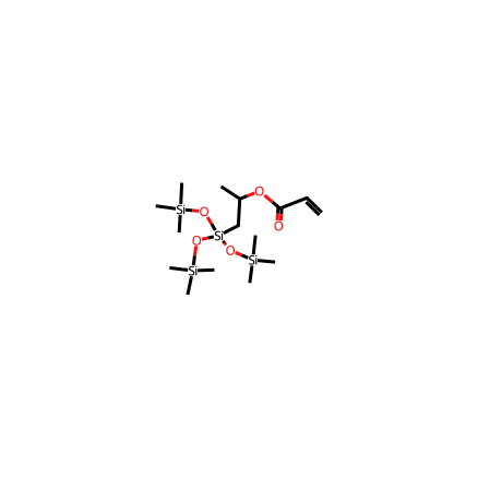 C=CC(=O)OC(C)C[Si](O[Si](C)(C)C)(O[Si](C)(C)C)O[Si](C)(C)C